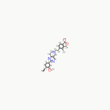 C#Cc1ccc(-c2ncc3c(n2)CCN(CCc2ccc4c(c2C)COC4=O)C3)cc1OC